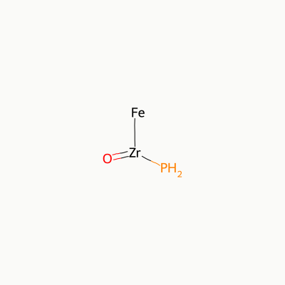 [O]=[Zr]([PH2])[Fe]